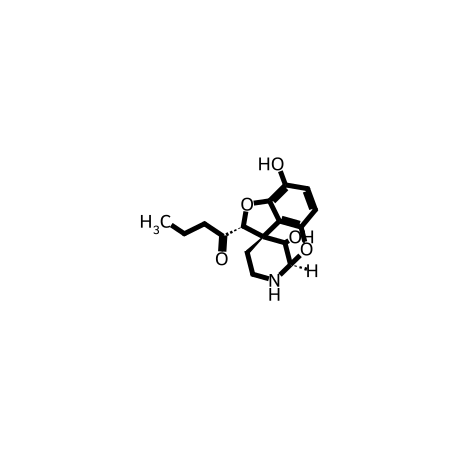 CCCC(=O)[C@@H]1Oc2c(O)ccc3c2[C@@]12CCN[C@H](O3)C2O